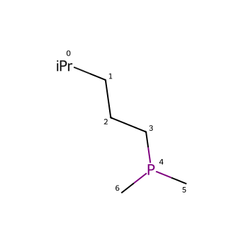 CC(C)CCCP(C)C